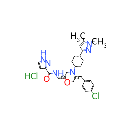 Cc1cc(C2CCC(N3C[C@H](CNC(=O)c4cc[nH]n4)OC[C@@H]3Cc3ccc(Cl)cc3)CC2)nn1C.Cl